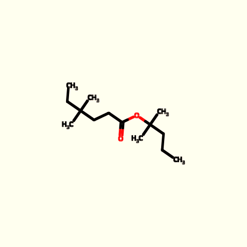 CCCC(C)(C)OC(=O)CCC(C)(C)CC